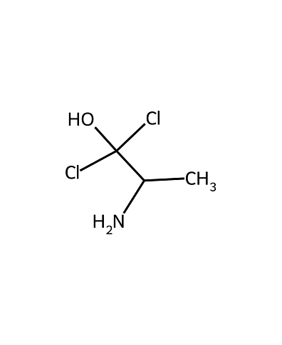 CC(N)C(O)(Cl)Cl